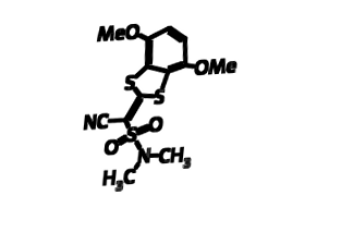 COc1ccc(OC)c2c1SC(=C(C#N)S(=O)(=O)N(C)C)S2